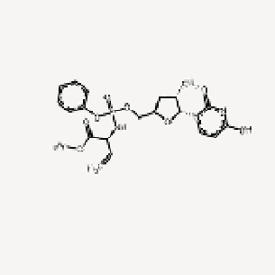 C=C[C@H](NP(=O)(OCC1C[C@H](C)[C@H](n2ccc(O)nc2=O)O1)Oc1ccccc1)C(=O)OCCC